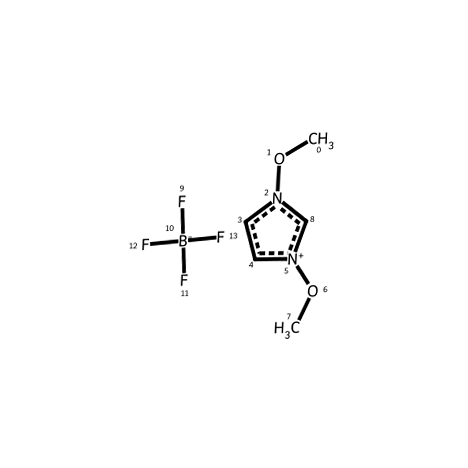 COn1cc[n+](OC)c1.F[B-](F)(F)F